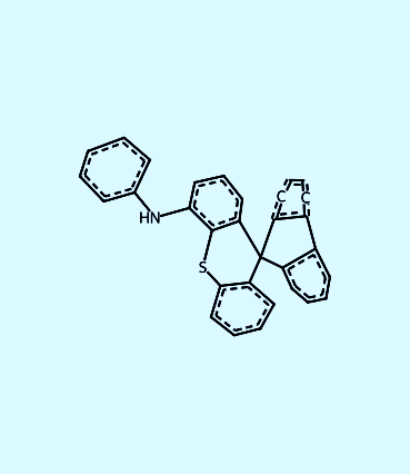 c1ccc(Nc2cccc3c2Sc2ccccc2C32c3ccccc3-c3ccccc32)cc1